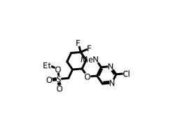 CCOS(=O)(=O)CC1CCC(F)(F)CC1Oc1cnc(Cl)nc1NC